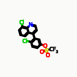 O=S(=O)(Oc1ccc(Cl)c(-c2ccnc3c(Cl)cccc23)c1)C(F)(F)F